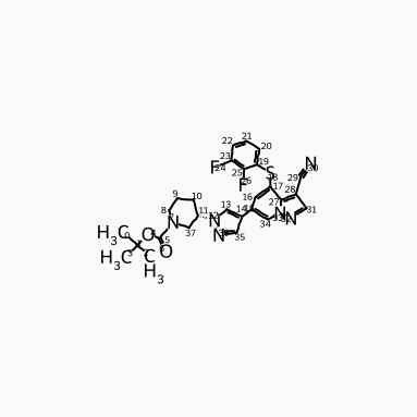 CC(C)(C)OC(=O)N1CCC[C@H](n2cc(-c3cc(Sc4cccc(F)c4F)c4c(C#N)cnn4c3)cn2)C1